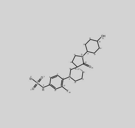 CCS(=O)(=O)Nc1ccc(N2CCC[C@@]3(CCN(C4CCC(O)CC4)C3=O)C2)c(F)c1